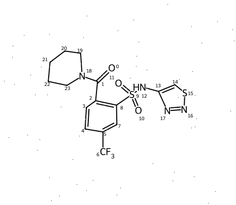 O=C(c1ccc(C(F)(F)F)cc1S(=O)(=O)Nc1csnn1)N1CCCCC1